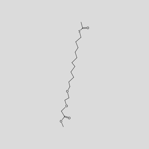 COC(=O)COCCOCCCCCCCCCCCSC(C)=O